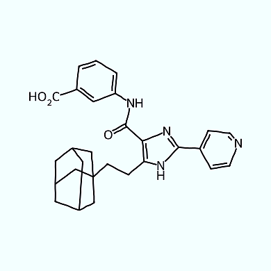 O=C(O)c1cccc(NC(=O)c2nc(-c3ccncc3)[nH]c2CCC23CC4CC(CC(C4)C2)C3)c1